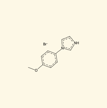 COc1ccc(-[n+]2cc[nH]c2)cc1.[Br-]